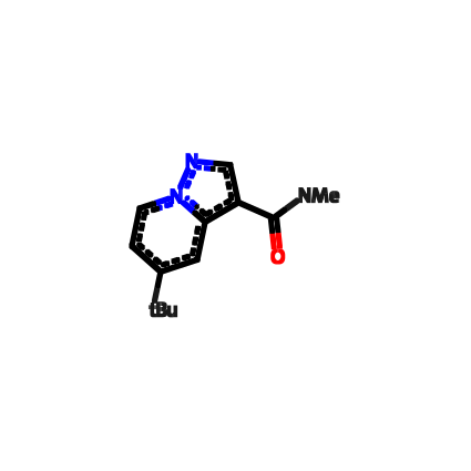 CNC(=O)c1cnn2ccc(C(C)(C)C)cc12